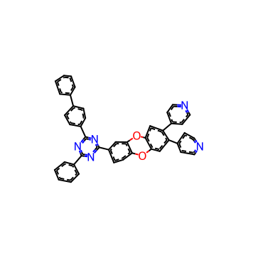 c1ccc(-c2ccc(-c3nc(-c4ccccc4)nc(-c4ccc5c(c4)Oc4cc(-c6ccncc6)c(-c6ccncc6)cc4O5)n3)cc2)cc1